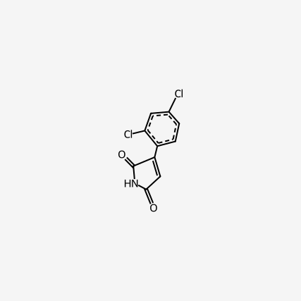 O=C1C=C(c2ccc(Cl)cc2Cl)C(=O)N1